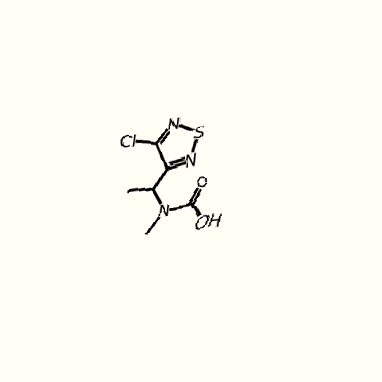 CC(c1nsnc1Cl)N(C)C(=O)O